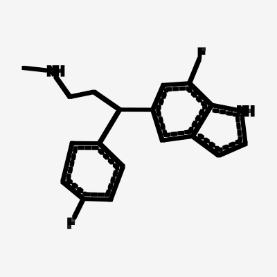 CNCCC(c1ccc(F)cc1)c1cc(F)c2[nH]ccc2c1